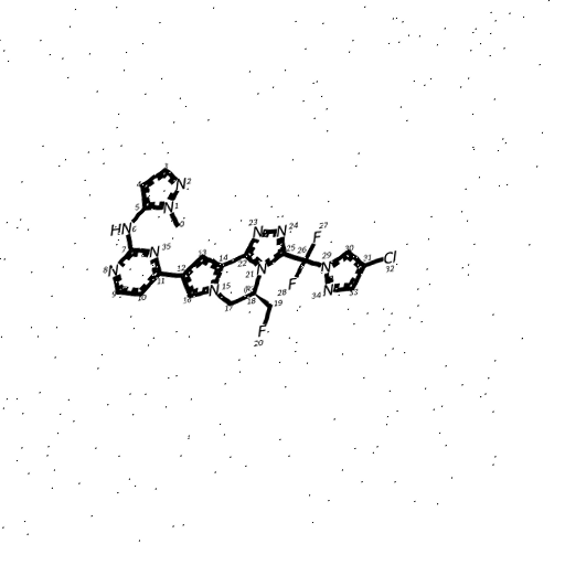 Cn1nccc1Nc1nccc(-c2cc3n(c2)C[C@H](CF)n2c-3nnc2C(F)(F)n2cc(Cl)cn2)n1